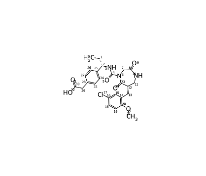 CC[C@H](NC(=O)N1CC(=O)NC[C@@H](Cc2cc(Cl)ccc2OC)C1=O)c1ccc(CC(=O)O)cc1